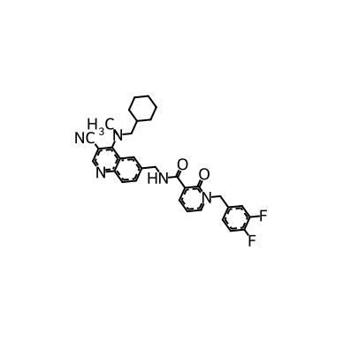 CN(CC1CCCCC1)c1c(C#N)cnc2ccc(CNC(=O)c3cccn(Cc4ccc(F)c(F)c4)c3=O)cc12